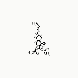 CCOCOc1ccc2c(c1)OCC(COC(C)=O)(COC(C)=O)C2=O